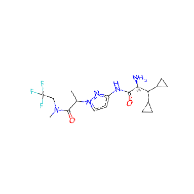 CC(C(=O)N(C)CC(F)(F)F)n1ccc(NC(=O)[C@@H](N)C(C2CC2)C2CC2)n1